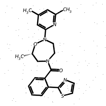 Cc1cc(C)nc(N2CCN(C(=O)c3ccccc3-c3nccs3)C[C@H](C)O2)c1